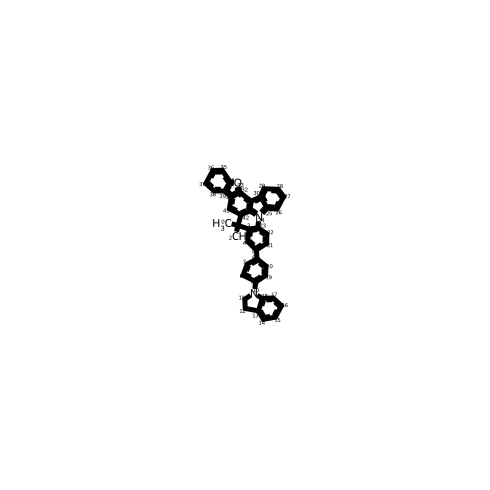 CC1(C)c2cc(-c3ccc(N4CCc5ccccc54)cc3)ccc2-n2c3ccccc3c3c4oc5ccccc5c4cc1c32